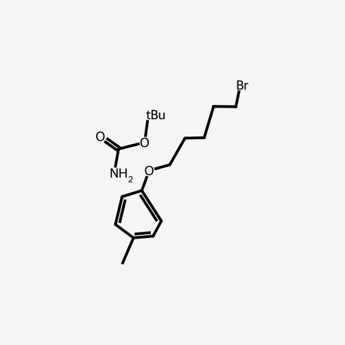 CC(C)(C)OC(N)=O.Cc1ccc(OCCCCCBr)cc1